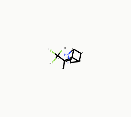 C/C(=C1\C2CNC1C2)C(F)(F)F